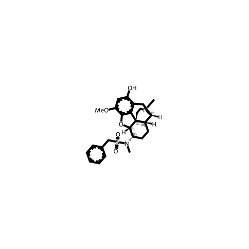 COc1cc(O)c2c3c1O[C@H]1[C@@H](N(C)S(=O)(=O)Cc4ccccc4)CC[C@H]4[C@@H](C2)N(C)CC[C@@]341